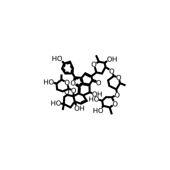 CC1OC(OC23C(=O)CC(C)(O)CC2(O)C=CC2C3=c3oc(-c4ccc(O)cc4)c4c3=C(C(=O)C(C3CC(OC5CCC(OC6CC(O)C(O)C(C)O6)C(C)O5)C(O)C(C)O3)=C4)C2O)CCC1O